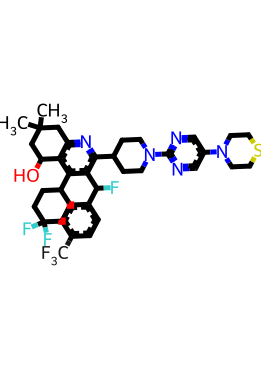 CC1(C)Cc2nc(C3CCN(c4ncc(N5CCSCC5)cn4)CC3)c(C(F)c3ccc(C(F)(F)F)cc3)c(C3CCC(F)(F)CC3)c2C(O)C1